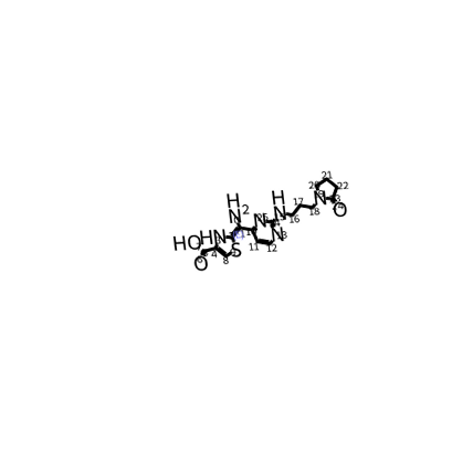 N/C(=C1\NC(C(=O)O)=CS1)c1ccnc(NCCCN2CCCC2=O)n1